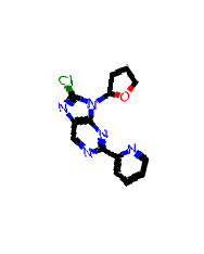 Clc1nc2cnc(-c3ccccn3)nc2n1C1CCCO1